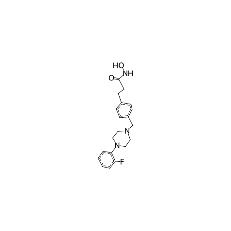 O=C(CCc1ccc(CN2CCN(c3ccccc3F)CC2)cc1)NO